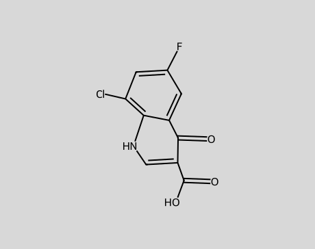 O=C(O)c1c[nH]c2c(Cl)cc(F)cc2c1=O